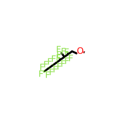 COCCC(F)(F)C(F)(C(F)(F)F)C(F)(F)C(F)(F)C(F)(F)C(F)(F)C(F)(F)F